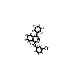 CCc1cccc(Nc2nnc(-c3ccccc3)c3ccccc23)c1